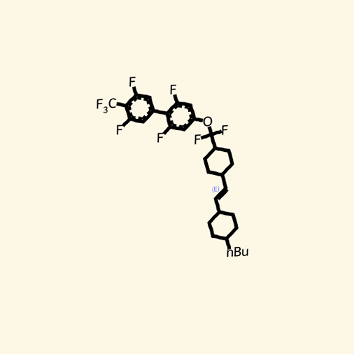 CCCCC1CCC(/C=C/C2CCC(C(F)(F)Oc3cc(F)c(-c4cc(F)c(C(F)(F)F)c(F)c4)c(F)c3)CC2)CC1